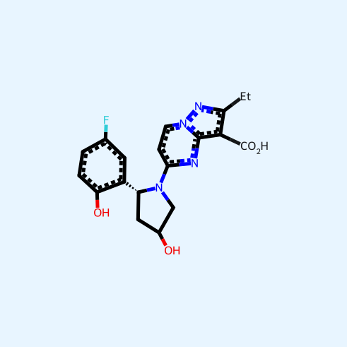 CCc1nn2ccc(N3CC(O)C[C@@H]3c3cc(F)ccc3O)nc2c1C(=O)O